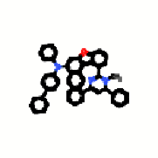 CN1C(c2cccc3oc4cc(N(c5ccccc5)c5ccc(-c6ccccc6)cc5)c5ccccc5c4c23)=NC(c2ccccc2)=CC1c1ccccc1